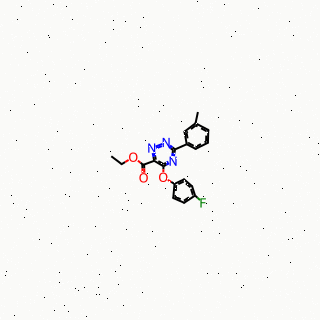 CCOC(=O)c1nnc(-c2cccc(C)c2)nc1Oc1ccc(F)cc1